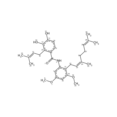 COc1cc(NC(=O)c2ccc(O)c(O)c2CC=C(C)C)c(CC=C(C)CCC=C(C)C)c(OC)c1